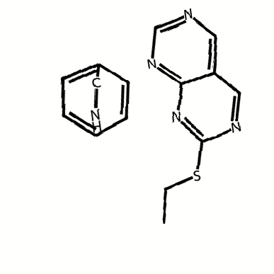 CCSc1ncc2cncnc2n1.c1cc2ccc1CN2